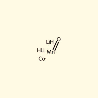 [Co].[LiH].[LiH].[O]=[Mn]